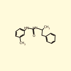 Cc1cccc(NC(=O)NC(C)Cc2ccccc2)c1